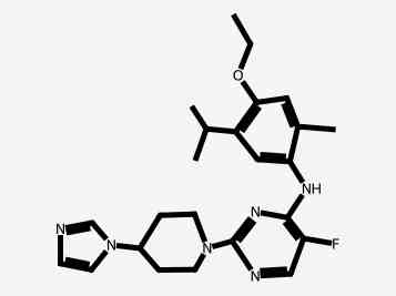 CCOc1cc(C)c(Nc2nc(N3CCC(n4ccnc4)CC3)ncc2F)cc1C(C)C